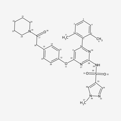 Cc1cccc(C)c1-c1cc(Oc2ccc(CC(=O)N3CCCCC3)cc2)nc(NS(=O)(=O)c2cnn(C)c2)n1